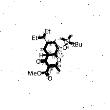 CCC(CC)[C@@H]1C[C@H](O[Si](C)(C)C(C)(C)C)[C@@]2(C)OC(C)=C(C(=O)OC)C(=O)[C@@H]2C1